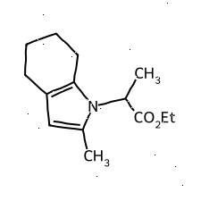 CCOC(=O)C(C)n1c(C)cc2c1CCCC2